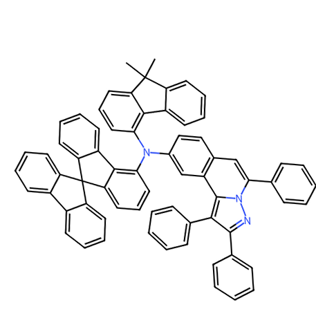 CC1(C)c2ccccc2-c2c(N(c3ccc4cc(-c5ccccc5)n5nc(-c6ccccc6)c(-c6ccccc6)c5c4c3)c3cccc4c3-c3ccccc3C43c4ccccc4-c4ccccc43)cccc21